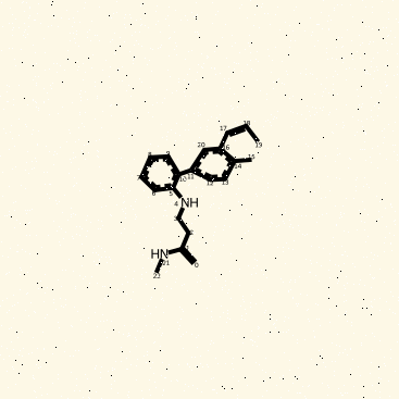 C=C(CCNc1ccccc1-c1ccc(C)c(/C=C\C)c1)NC